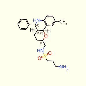 NCCCS(=O)(=O)NC[C@H]1CC[C@@H]2[C@H](O1)c1cc(C(F)(F)F)ccc1N[C@H]2c1ccccc1